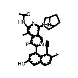 C#Cc1c(F)ccc2cc(O)cc(-c3ncc4c(N5CC6CCC(C5)N6)nc(NC(C)=O)c(C)c4c3F)c12